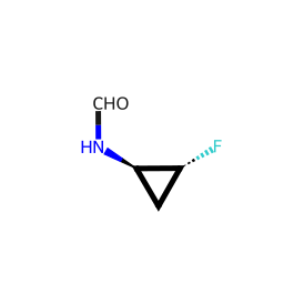 O=CN[C@@H]1C[C@H]1F